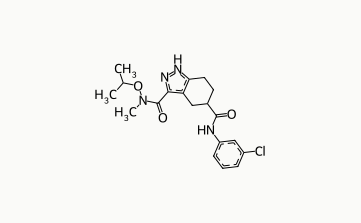 CC(C)ON(C)C(=O)c1n[nH]c2c1CC(C(=O)Nc1cccc(Cl)c1)CC2